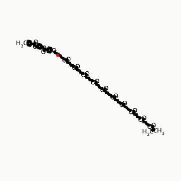 C=C(C)C(=O)OCCCCC(=O)OCCCCC(=O)OCCCCC(=O)OCCCCC(=O)OCCCCC(=O)OCCCCC(=O)OCCCCC(=O)OCCCCC(=O)OCCCCC(=O)OCCCCCCOc1ccc(C(=O)Oc2ccc(OC(=O)c3ccc(C)cc3)cc2)cc1